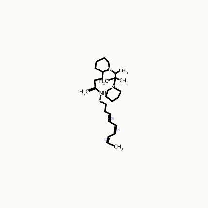 C=C(CCC1CCCCN1C(C)C(C)(C)N1CCCCC1)NSCC/C=C/C=C\C=C/C